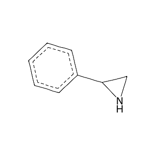 c1ccc(C2CN2)cc1